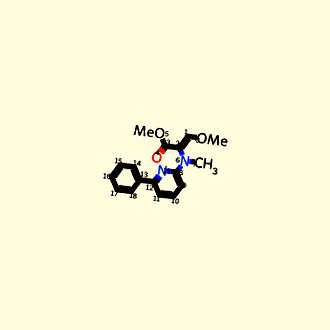 CO/C=C(/C(=O)OC)N(C)c1cccc(-c2ccccc2)n1